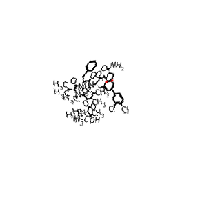 CC[C@H](C)[C@@H](OC(=O)[C@@H](NC)C(C)(C)O)C(=O)N(C)[C@H](C(=O)N[C@@H](Cc1ccccc1)C(=O)N(C)[C@@H](Cc1cccc(-c2ccc(Cl)c(Cl)c2)c1)C(=O)N1CCC[C@H]1C(N)=O)C(C)C